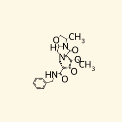 COc1c2n(cc(C(=O)NCc3ccccc3)c1=O)C[C@H]1OC[C@H](C)N1C2=O